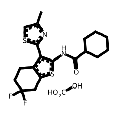 Cc1csc(-c2c(NC(=O)C3CCCCC3)sc3c2CCC(F)(F)C3)n1.O=C(O)O